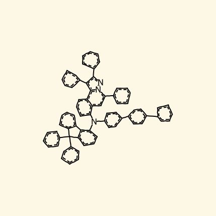 c1ccc(-c2ccc(-c3ccc(N(c4cccc5c4-c4ccccc4C5(c4ccccc4)c4ccccc4)c4cccc5c4cc(-c4ccccc4)n4nc(-c6ccccc6)c(-c6ccccc6)c54)cc3)cc2)cc1